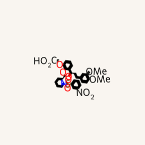 COc1ccc(CC[C@@H](OC(=O)[C@@H]2CCCCN2S(=O)(=O)c2cccc([N+](=O)[O-])c2)c2cccc(OCC(=O)O)c2)cc1OC